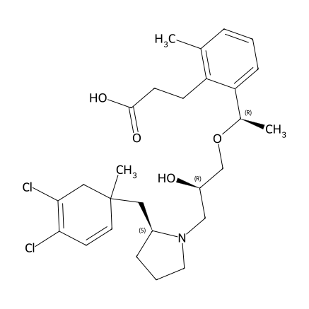 Cc1cccc([C@@H](C)OC[C@H](O)CN2CCC[C@H]2CC2(C)C=CC(Cl)=C(Cl)C2)c1CCC(=O)O